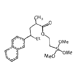 CCC(CC(C)C(=O)OCC[Si](OC)(OC)OC)c1ccc2ccccc2c1